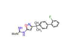 CNC(=N)Nc1cc(C(C)(C)c2ccc(-c3ccccc3F)cc2)no1